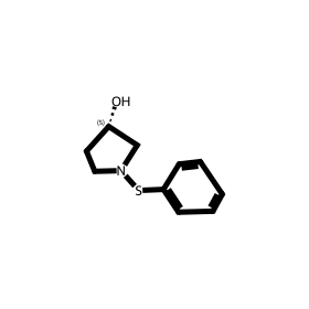 O[C@H]1CCN(Sc2ccccc2)C1